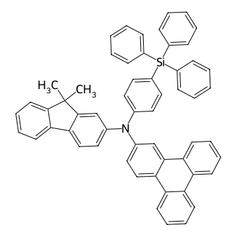 CC1(C)c2ccccc2-c2ccc(N(c3ccc([Si](c4ccccc4)(c4ccccc4)c4ccccc4)cc3)c3ccc4c5ccccc5c5ccccc5c4c3)cc21